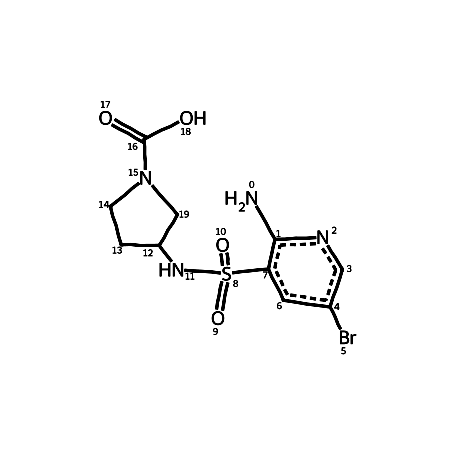 Nc1ncc(Br)cc1S(=O)(=O)NC1CCN(C(=O)O)C1